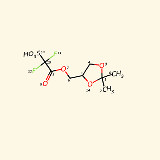 CC1(C)OCC(COC(=O)C(F)(F)S(=O)(=O)O)O1